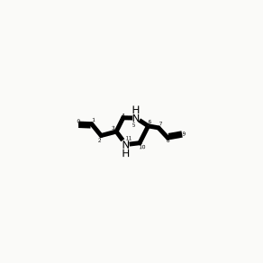 C=CCC1CNC(CC=C)CN1